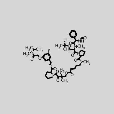 CC(C)N(C)C(=O)COc1cc(F)cc(COC(=O)C2CCCCN2C(=O)C(=O)C(C)(C)COC(=O)/C=C/CCN(C)C(=O)C2CCCN2C(=O)C(COC(C)(C)C)N(C)C(=O)C(NC=O)c2ccccc2)c1